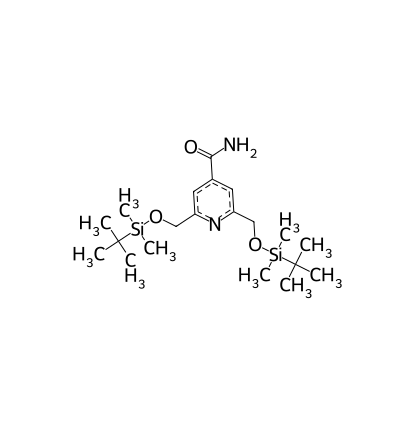 CC(C)(C)[Si](C)(C)OCc1cc(C(N)=O)cc(CO[Si](C)(C)C(C)(C)C)n1